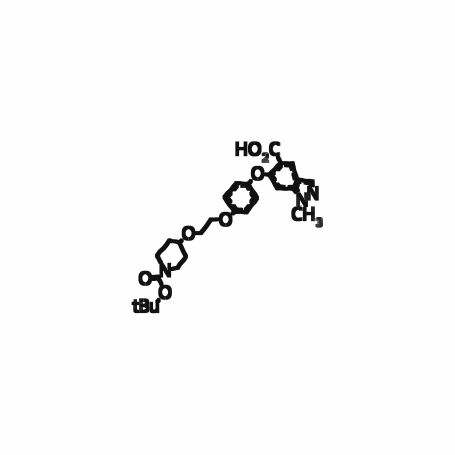 Cn1ncc2cc(C(=O)O)c(Oc3ccc(OCCOC4CCN(C(=O)OC(C)(C)C)CC4)cc3)cc21